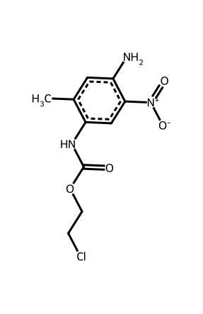 Cc1cc(N)c([N+](=O)[O-])cc1NC(=O)OCCCl